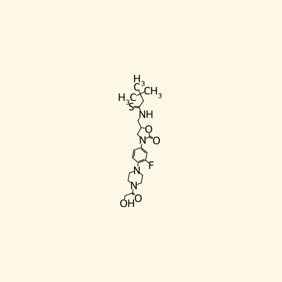 CC(C)(C)CC(=S)NCC1CN(c2ccc(N3CCN(C(=O)CO)CC3)c(F)c2)C(=O)O1